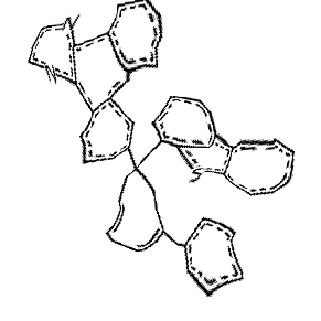 C1=CC(c2ccc3c(c2)c2ccccc2c2nccnc32)(c2cccc3c2sc2ccccc23)CC(c2ccccc2)=C1